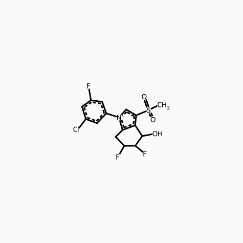 CS(=O)(=O)c1cn(-c2cc(F)cc(Cl)c2)c2c1C(O)C(F)C(F)C2